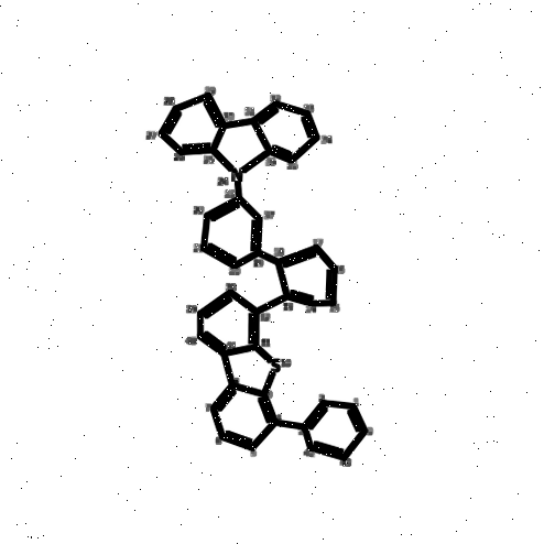 c1ccc(-c2cccc3c2sc2c(-c4ccccc4-c4cccc(-n5c6ccccc6c6ccccc65)c4)cccc23)cc1